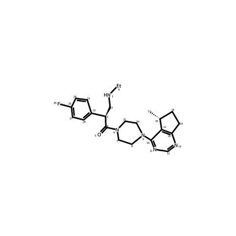 CCNC[C@@H](C(=O)N1CCN(c2ncnc3c2[C@H](C)CC3)CC1)c1ccc(F)cc1